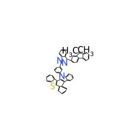 CC1(C)c2ccccc2-c2ccc(-c3nc(-c4cccc(-n5c6ccccc6c6c7ccccc7c7sc8ccccc8c7c65)c4)nc4ccccc34)cc21